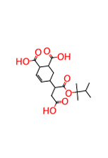 CC(C)C(C)(C)OC(=O)C(CC(=O)O)C1C=CC(C(=O)O)C(C(=O)O)C1